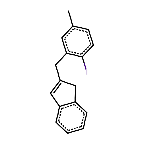 Cc1ccc(I)c(CC2=Cc3ccccc3C2)c1